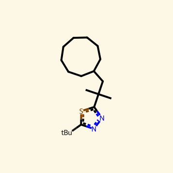 CC(C)(C)c1nnc(C(C)(C)CC2CCCCCCCC2)s1